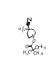 CC1(C#N)CCN(OC(=O)C(C)(C)C)CC1